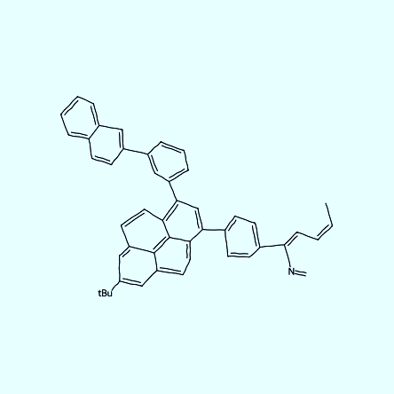 C=N/C(=C\C=C/C)c1ccc(-c2cc(-c3cccc(-c4ccc5ccccc5c4)c3)c3ccc4cc(C(C)(C)C)cc5ccc2c3c54)cc1